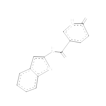 O=C(Nc1cc2ccccc2[nH]1)c1ccc(=O)[nH]c1